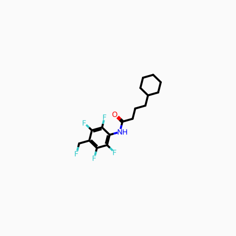 O=C(CCCC1CCCCC1)Nc1c(F)c(F)c(CF)c(F)c1F